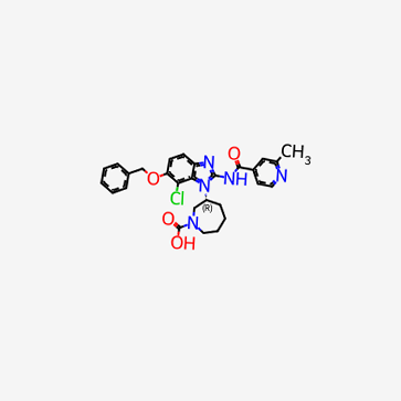 Cc1cc(C(=O)Nc2nc3ccc(OCc4ccccc4)c(Cl)c3n2[C@@H]2CCCCN(C(=O)O)C2)ccn1